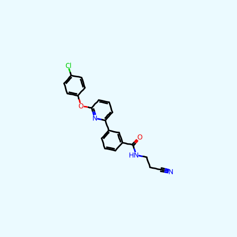 N#CCCNC(=O)c1cccc(-c2cccc(Oc3ccc(Cl)cc3)n2)c1